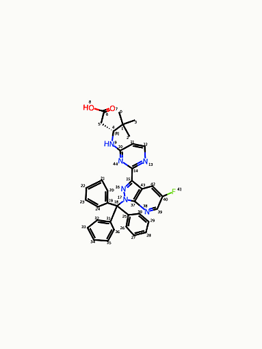 CC(C)(C)[C@@H](CC(=O)O)Nc1ccnc(-c2nn(C(c3ccccc3)(c3ccccc3)c3ccccc3)c3ncc(F)cc23)n1